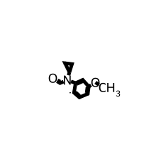 COc1cc[c]c(N(C=O)C2CC2)c1